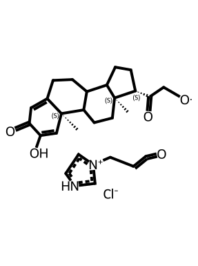 C[C@]12C=C(O)C(=O)C=C1CCC1C2CC[C@@]2(C)C1CC[C@@H]2C(=O)C[O].O=C=CC[n+]1cc[nH]c1.[Cl-]